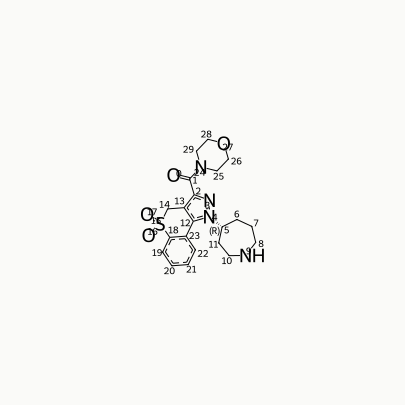 O=C(c1nn([C@@H]2CCCNCC2)c2c1CS(=O)(=O)c1ccccc1-2)N1CCOCC1